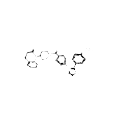 COc1ccc(-c2nccn2-c2ccc(C(=O)N3CCC(N4C(=O)CCc5ccccc54)CC3)cc2)cc1